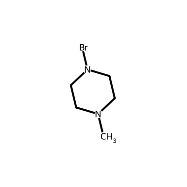 CN1CCN(Br)CC1